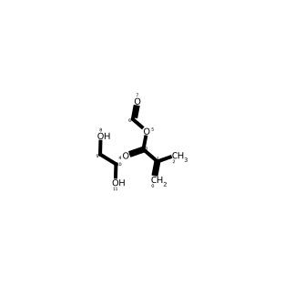 C=C(C)C(=O)OC=O.OCCO